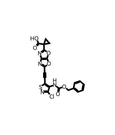 O=C(Nc1c(Cl)nsc1C#Cc1nc2nc(C3(C(=O)O)CC3)oc2o1)OCc1ccccc1